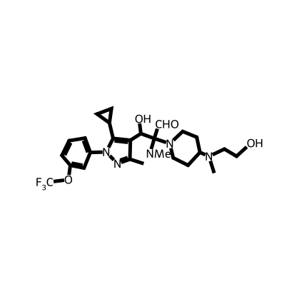 CNC(C=O)(C(O)c1c(C)nn(-c2cccc(OC(F)(F)F)c2)c1C1CC1)N1CCC(N(C)CCO)CC1